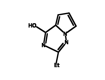 CCc1nc(O)c2cccn2n1